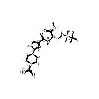 COC(=O)[C@H](CO[Si](C)(C)C(C)(C)C)NC(=O)c1csc(N2CCN(C(=O)O)CC2)n1